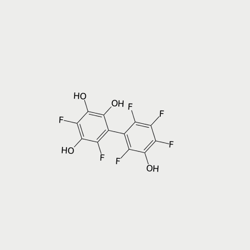 Oc1c(O)c(-c2c(F)c(O)c(F)c(F)c2F)c(F)c(O)c1F